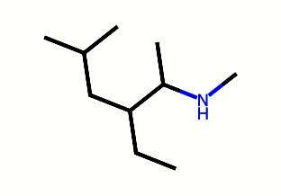 CCC(CC(C)C)C(C)NC